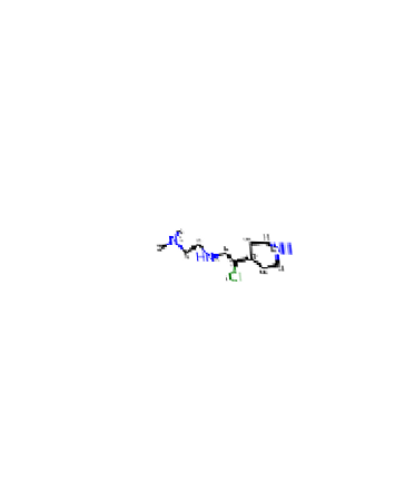 CN(C)CCNCC(Cl)=C1CCNCC1